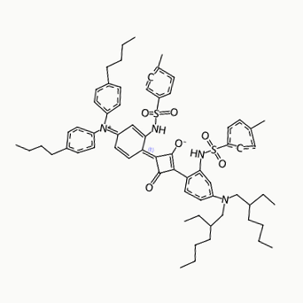 CCCCc1ccc([N+](=C2C=C/C(=C3\C(=O)C(c4ccc(N(CC(CC)CCCC)CC(CC)CCCC)cc4NS(=O)(=O)c4ccc(C)cc4)=C3[O-])C(NS(=O)(=O)c3ccc(C)cc3)=C2)c2ccc(CCCC)cc2)cc1